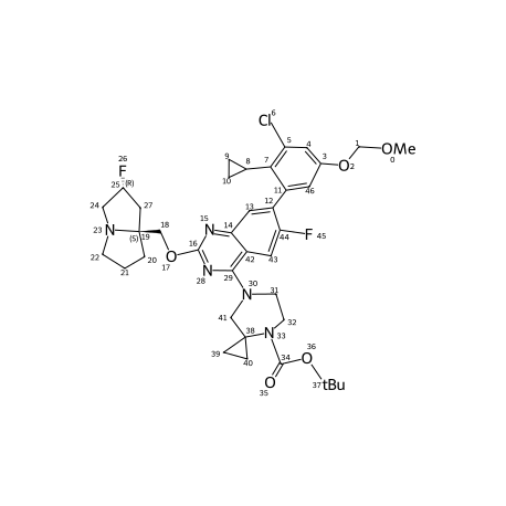 COCOc1cc(Cl)c(C2CC2)c(-c2cc3nc(OC[C@@]45CCCN4C[C@H](F)C5)nc(N4CCN(C(=O)OC(C)(C)C)C5(CC5)C4)c3cc2F)c1